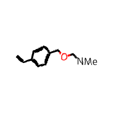 C=Cc1ccc(COCNC)cc1